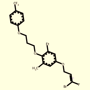 CCc1cc(OC/C=C(/F)Br)cc(C)c1OCCCOc1ccc(C(F)(F)F)cc1